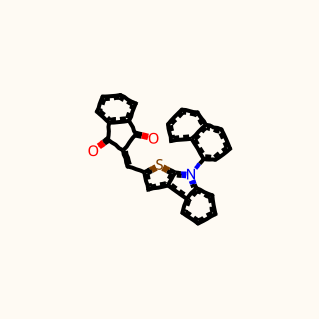 O=C1C(=Cc2cc3c4ccccc4n(-c4cccc5ccccc45)c3s2)C(=O)c2ccccc21